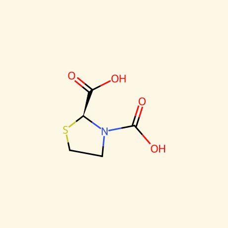 O=C(O)[C@@H]1SCCN1C(=O)O